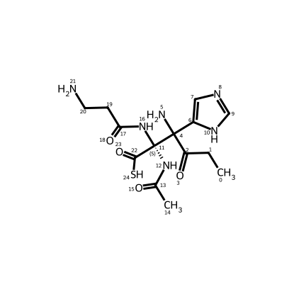 CCC(=O)C(N)(c1cnc[nH]1)[C@](NC(C)=O)(NC(=O)CCN)C(=O)S